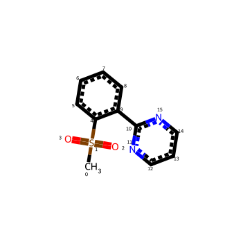 CS(=O)(=O)c1ccccc1-c1ncccn1